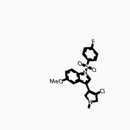 COc1ccc2c(c1)c(C1=C(Cl)CN(C)C1)cn2S(=O)(=O)c1ccc(F)cc1